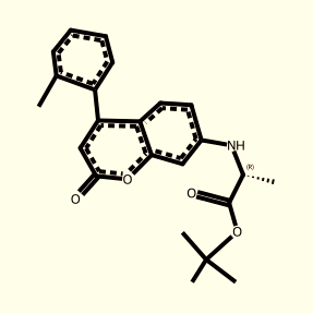 Cc1ccccc1-c1cc(=O)oc2cc(N[C@H](C)C(=O)OC(C)(C)C)ccc12